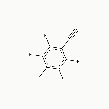 C#Cc1c(F)c(C)c([CH2])c(F)c1F